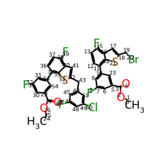 CCOC(=O)c1cc(F)cc(-c2ccc(F)c3cc(CBr)sc23)c1.CCOC(=O)c1cc(F)cc(-c2ccc(F)c3cc(Cc4cc(F)cc(Cl)c4)sc23)c1